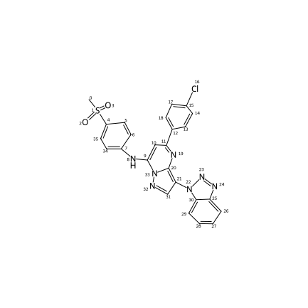 CS(=O)(=O)c1ccc(Nc2cc(-c3ccc(Cl)cc3)nc3c(-n4nnc5ccccc54)cnn23)cc1